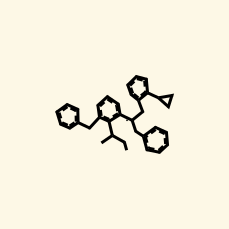 CCC(C)c1c(Cc2ccccc2)cccc1[C](Cc1ccccc1)Cc1ccccc1C1CC1